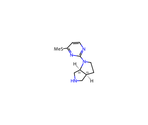 CSc1ccnc(N2CC[C@H]3CNC[C@H]32)n1